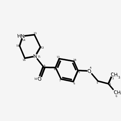 CC(C)COc1ccc(C(=O)N2CCNCC2)cc1